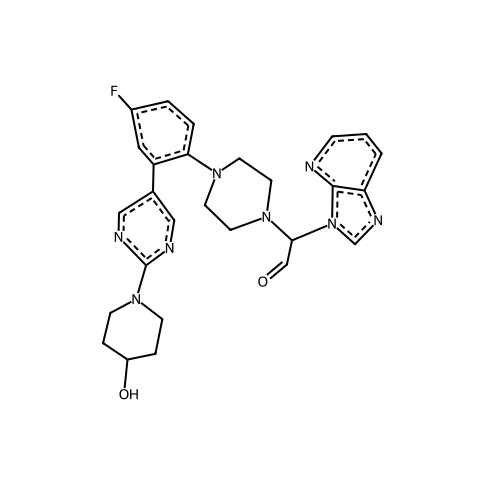 O=CC(N1CCN(c2ccc(F)cc2-c2cnc(N3CCC(O)CC3)nc2)CC1)n1cnc2cccnc21